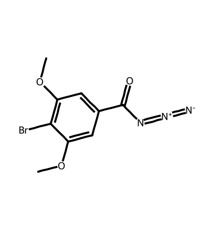 COc1cc(C(=O)N=[N+]=[N-])cc(OC)c1Br